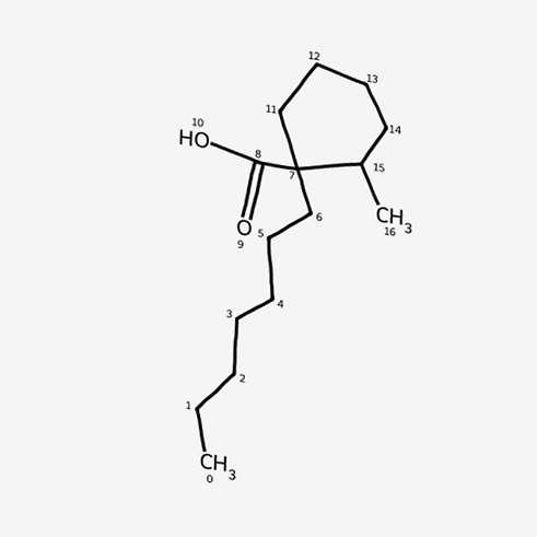 CCCCCCCC1(C(=O)O)CCCCC1C